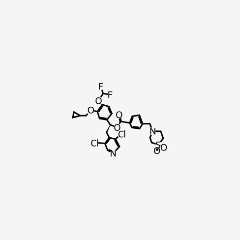 O=C(O[C@@H](Cc1c(Cl)cncc1Cl)c1ccc(OC(F)F)c(OCC2CC2)c1)c1ccc(CN2CCS(=O)(=O)CC2)cc1